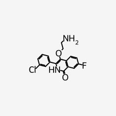 NCCOc1c(-c2cccc(Cl)c2)[nH]c(=O)c2cc(F)ccc12